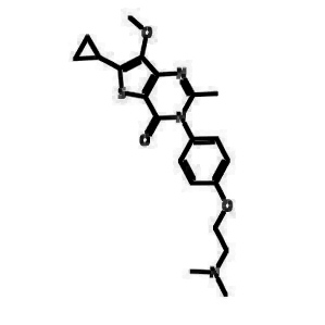 COc1c(C2CC2)sc2c(=O)n(-c3ccc(OCCN(C)C)cc3)c(C)nc12